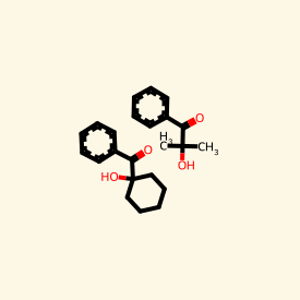 CC(C)(O)C(=O)c1ccccc1.O=C(c1ccccc1)C1(O)CCCCC1